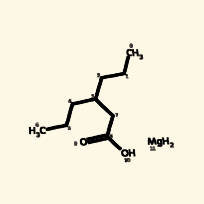 CCCC(CCC)CC(=O)O.[MgH2]